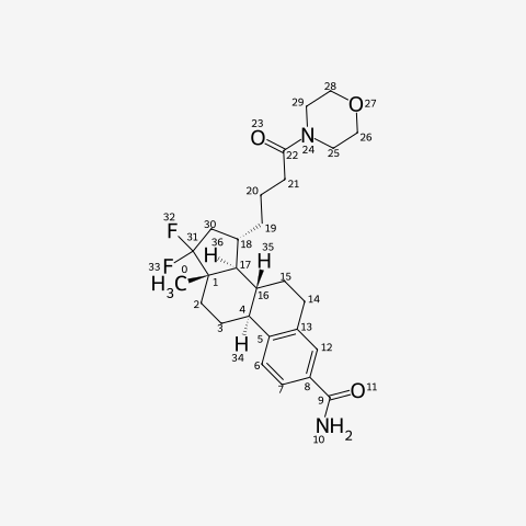 C[C@]12CC[C@@H]3c4ccc(C(N)=O)cc4CC[C@H]3[C@@H]1[C@@H](CCCC(=O)N1CCOCC1)CC2(F)F